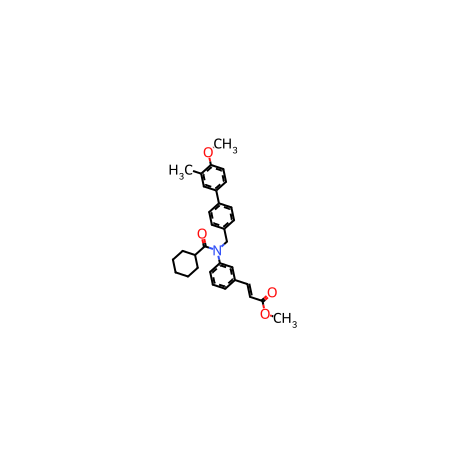 COC(=O)/C=C/c1cccc(N(Cc2ccc(-c3ccc(OC)c(C)c3)cc2)C(=O)C2CCCCC2)c1